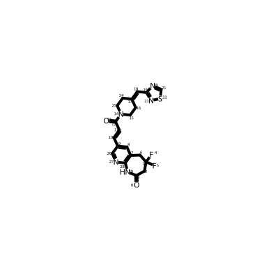 O=C1CC(F)(F)Cc2cc(C=CC(=O)N3CCC(=Cc4ncsn4)CC3)cnc2N1